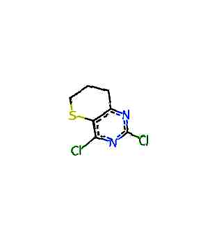 Clc1nc(Cl)c2c(n1)CCCS2